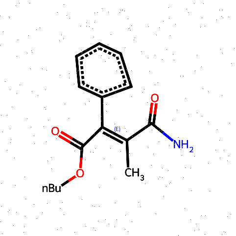 CCCCOC(=O)/C(=C(\C)C(N)=O)c1ccccc1